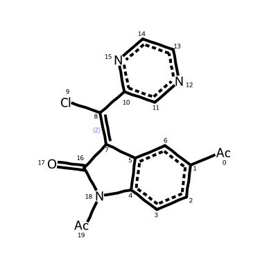 CC(=O)c1ccc2c(c1)/C(=C(/Cl)c1cnccn1)C(=O)N2C(C)=O